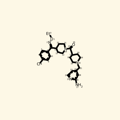 CCON=C(c1ccc(Cl)cc1)C1CCN(C(=O)C2CCN(Cc3ccnc(N)c3)CC2)CC1